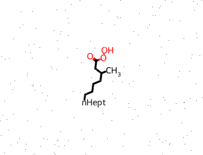 CCCCCCCCCCCC(C)CC(=O)OO